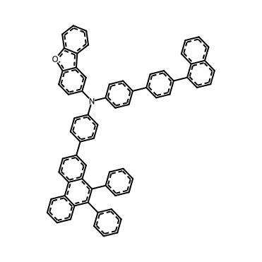 c1ccc(-c2c(-c3ccccc3)c3cc(-c4ccc(N(c5ccc(-c6ccc(-c7cccc8ccccc78)cc6)cc5)c5ccc6oc7ccccc7c6c5)cc4)ccc3c3ccccc23)cc1